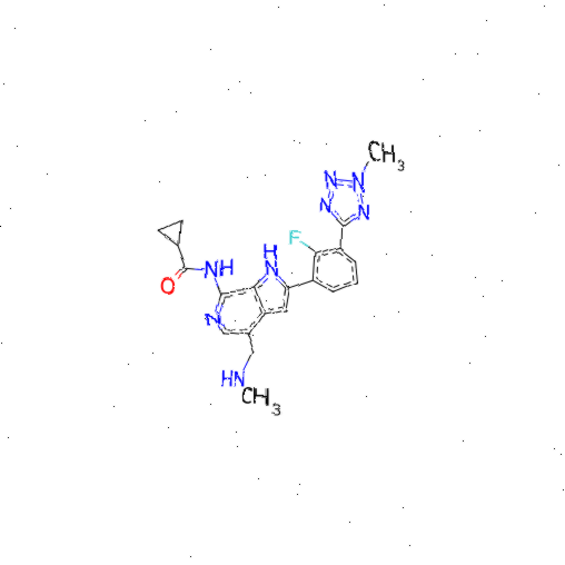 CNCc1cnc(NC(=O)C2CC2)c2[nH]c(-c3cccc(-c4nnn(C)n4)c3F)cc12